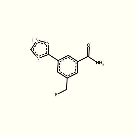 NC(=O)c1cc(CF)cc(-c2nc[nH]n2)c1